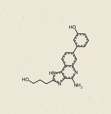 Nc1nc2cc(-c3cccc(O)c3)ccc2c2[nH]c(CCCO)nc12